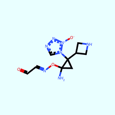 NC1(ON=CC=O)CC1(C1CNC1)n1cnn[n+]1[O-]